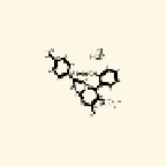 COc1ccccc1C1C(C(=O)O)=C(C)N=C2SC(c3ccc(Cl)cc3)=CN21.Cl.Cl